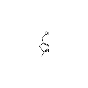 Cc1ncc(CBr)s1